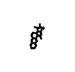 Cc1cc2c(c(C)c(C)n2C)c2ccc3cc4ccccc4cc3c12